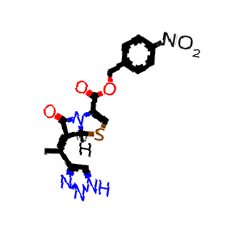 CC(=C1C(=O)N2C(C(=O)OCc3ccc([N+](=O)[O-])cc3)=CS[C@H]12)c1c[nH]nn1